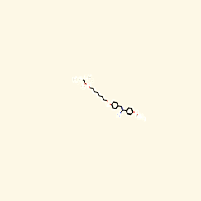 C=C(C)C(=O)OCCCCCCCCOc1ccc(/C=C(\C#N)c2ccc(OC)cc2)cc1